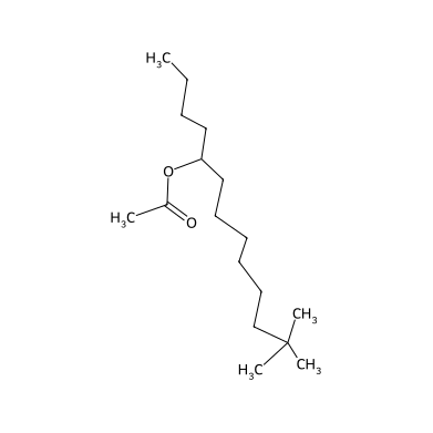 CCCCC(CCCCCCC(C)(C)C)OC(C)=O